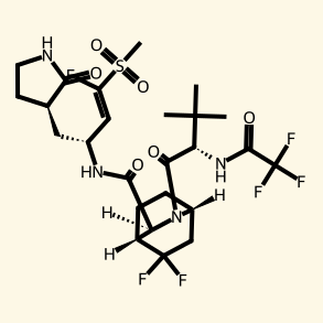 CC(C)(C)[C@H](NC(=O)C(F)(F)F)C(=O)N1[C@@H]2CC[C@H]([C@H]1C(=O)N[C@@H](/C=C(\F)S(C)(=O)=O)C[C@H]1CCNC1=O)C(F)(F)C2